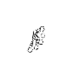 FC12C3=C4C5=C6C7C8C=CC9C%10C=CC%11C%12C=CC%13C%14C(=C4C4=C(C%11C%10C(=C54)C97)C%12%14)C1(F)C%13CCC2C1C=CC8C6C31